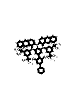 Cc1cc(-c2ccccc2)cc(C)c1-c1cc2c3c(c1)N(c1cc(C(C)(C)C)cc(C(C)(C)C)c1)c1c(ccc4cc5ccccc5cc14)B3c1ccc3cc4ccccc4cc3c1N2c1cc(C(C)(C)C)cc(C(C)(C)C)c1